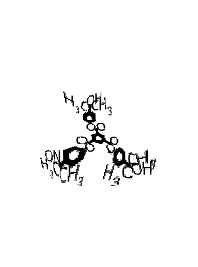 CC(C)(O)c1ccc(OC(=O)c2cc(C(=O)Oc3ccc(C(C)(C)O)cc3)cc(C(=O)Oc3ccc(C(C)(C)N=O)cc3)c2)cc1